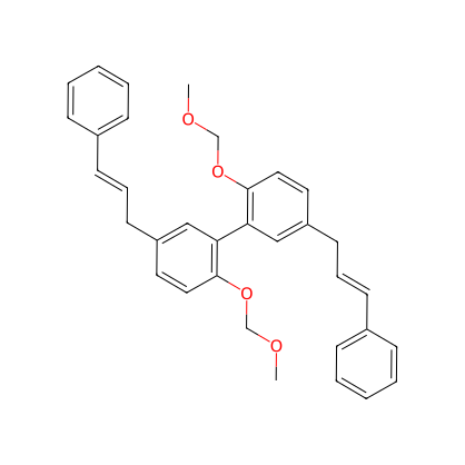 COCOc1ccc(C/C=C/c2ccccc2)cc1-c1cc(C/C=C/c2ccccc2)ccc1OCOC